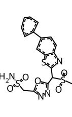 CS(=O)(=O)C(c1nnc(CS(N)(=O)=O)o1)c1nc2ccc(-c3ccccc3)cc2s1